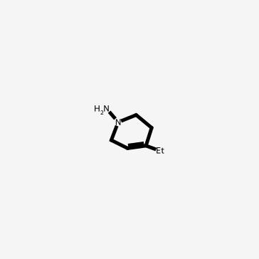 CCC1=CCN(N)CC1